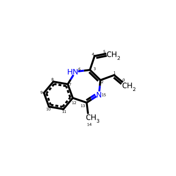 C=CC1=C(C=C)Nc2ccccc2C(C)=N1